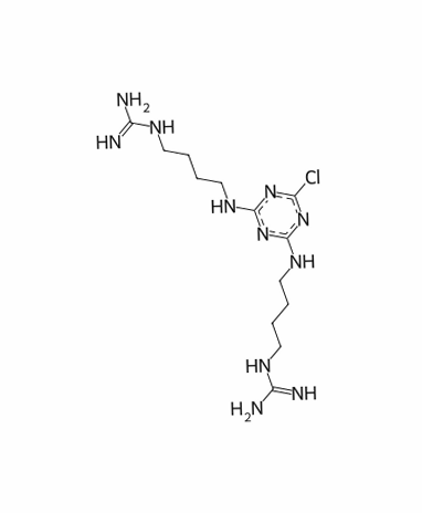 N=C(N)NCCCCNc1nc(Cl)nc(NCCCCNC(=N)N)n1